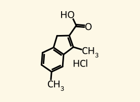 CC1=C(C(=O)O)Cc2ccc(C)cc21.Cl